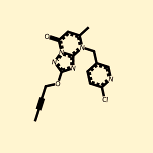 CC#CCOc1nc2n(Cc3ccc(Cl)nc3)c(C)cc(=O)n2n1